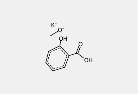 C[O-].O=C(O)c1ccccc1O.[K+]